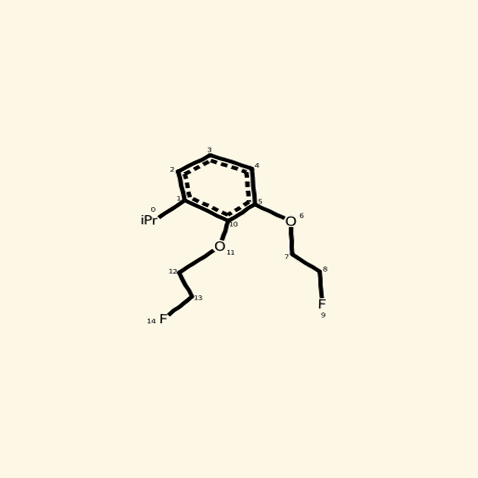 CC(C)c1cccc(OCCF)c1OCCF